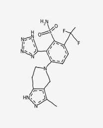 Cc1n[nH]c2c1CN(c1ccc(C(C)(F)F)c(S(N)(=O)=O)c1-c1nnn[nH]1)CC2